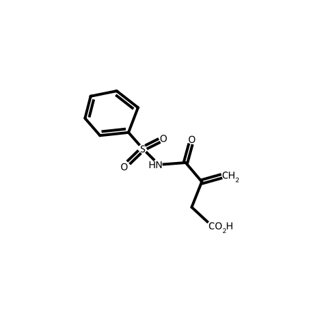 C=C(CC(=O)O)C(=O)NS(=O)(=O)c1ccccc1